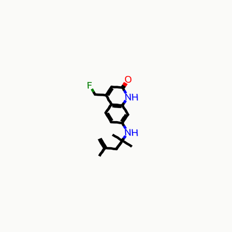 C=C(C)CC(C)(C)Nc1ccc2c(CF)cc(=O)[nH]c2c1